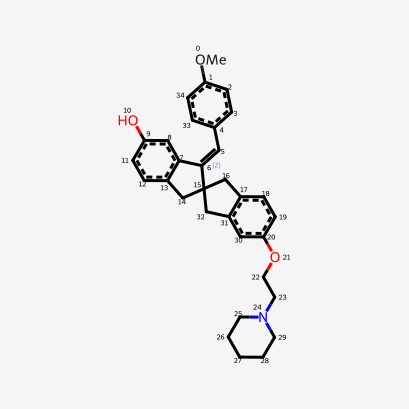 COc1ccc(/C=C2\c3cc(O)ccc3CC23Cc2ccc(OCCN4CCCCC4)cc2C3)cc1